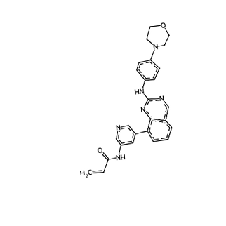 C=CC(=O)Nc1cncc(-c2cccc3cnc(Nc4ccc(N5CCOCC5)cc4)nc23)c1